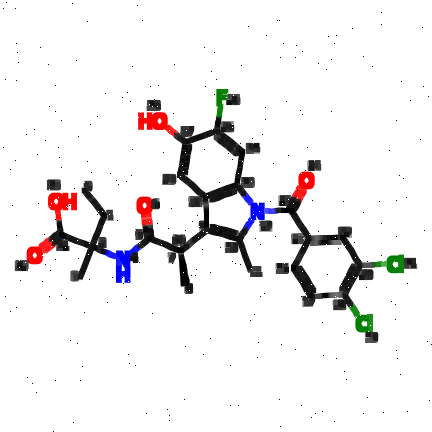 CCC(C)(NC(=O)[C@H](C)c1c(C)n(C(=O)c2ccc(Cl)c(Cl)c2)c2cc(F)c(O)cc12)C(=O)O